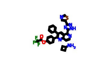 NC1CCC1.O=C(Oc1ccc(-c2nc3ccnc(-c4nc(-c5cncs5)n[nH]4)c3cc2-c2ccccc2)cc1)C(F)(F)F